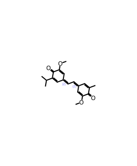 COC1=C/C(=C\C=C2/C=C(OC)C(=O)C(C(C)C)=C2)C=C(C)C1=O